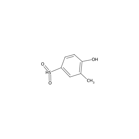 Cc1cc([SH](=O)=O)ccc1O